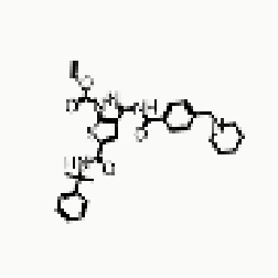 C=COC(=O)n1nc(NC(=O)c2ccc(CN3CCCCC3)cc2)c2cc(C(=O)NC(C)(C)c3ccccc3)sc21